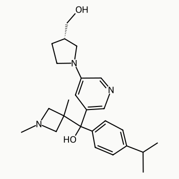 CC(C)c1ccc(C(O)(c2cncc(N3CC[C@H](CO)C3)c2)C2(C)CN(C)C2)cc1